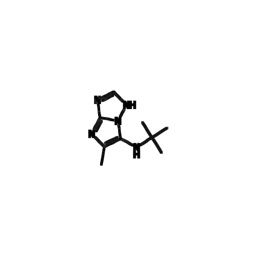 Cc1nc2nc[nH]n2c1NC(C)(C)C